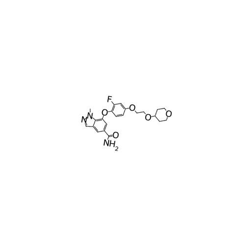 Cn1ncc2cc(C(N)=O)cc(Oc3ccc(OCCOC4CCOCC4)cc3F)c21